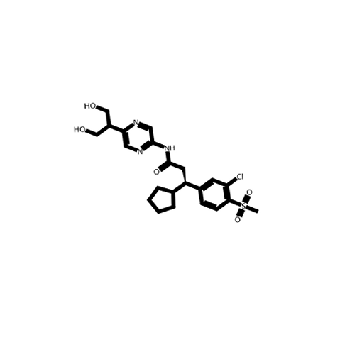 CS(=O)(=O)c1ccc([C@H](CC(=O)Nc2cnc(C(CO)CO)cn2)C2CCCC2)cc1Cl